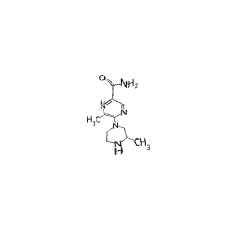 Cc1nc(C(N)=O)cnc1N1CCNC(C)C1